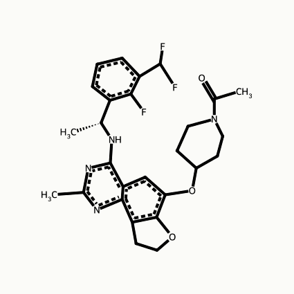 CC(=O)N1CCC(Oc2cc3c(N[C@H](C)c4cccc(C(F)F)c4F)nc(C)nc3c3c2OCC3)CC1